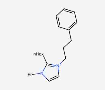 CCCCCCc1n(CC)cc[n+]1CCCc1ccccc1